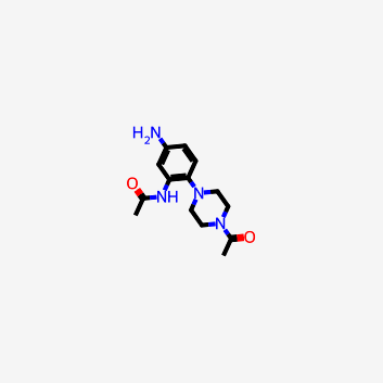 CC(=O)Nc1cc(N)ccc1N1CCN(C(C)=O)CC1